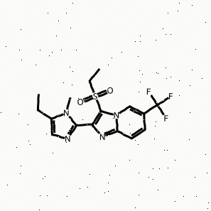 CCc1cnc(-c2nc3ccc(C(F)(F)F)cn3c2S(=O)(=O)CC)n1C